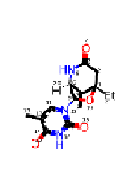 CC[C@]12CC(=O)N[C@@H](C1C)[C@H](n1cc(C)c(=O)[nH]c1=O)O2